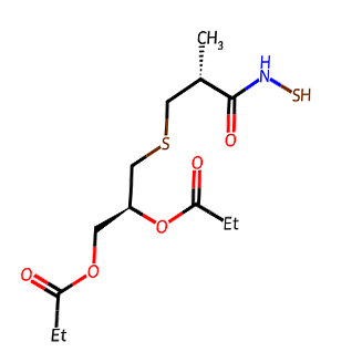 CCC(=O)OC[C@@H](CSC[C@H](C)C(=O)NS)OC(=O)CC